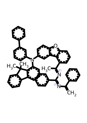 C=C(/N=C(\N=C(/C)c1cccc2oc3ccc(N(c4cccc(-c5ccccc5)c4)c4cccc5c4C(C)(C)c4ccccc4-5)cc3c12)c1ccccc1)c1ccccc1